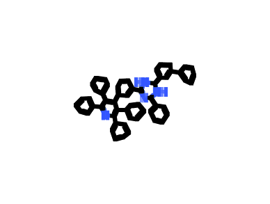 c1ccc(-c2cccc(C3NC(c4cccc(-c5c(-c6ccccc6)c(-c6ccccc6)nc(-c6ccccc6)c5-c5ccccc5)c4)=NC(c4ccccc4)N3)c2)cc1